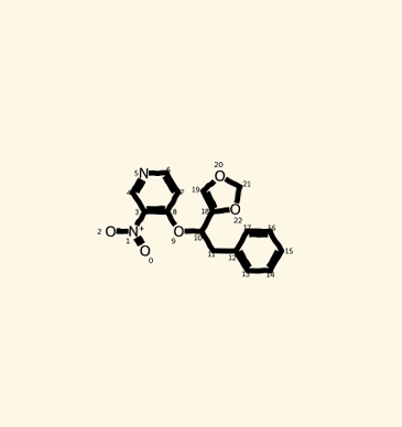 O=[N+]([O-])c1cnccc1OC(Cc1ccccc1)C1=COCO1